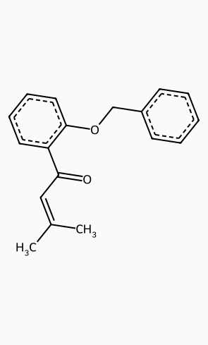 CC(C)=CC(=O)c1ccccc1OCc1ccccc1